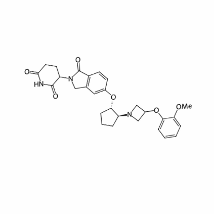 COc1ccccc1OC1CN([C@H]2CCC[C@@H]2Oc2ccc3c(c2)CN(C2CCC(=O)NC2=O)C3=O)C1